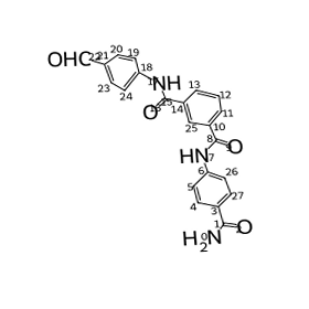 NC(=O)c1ccc(NC(=O)c2cccc(C(=O)Nc3ccc(C=O)cc3)c2)cc1